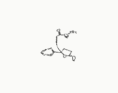 CCCOC(=O)CC1(c2ccccc2)CCC(=O)O1